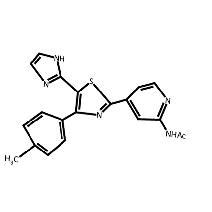 CC(=O)Nc1cc(-c2nc(-c3ccc(C)cc3)c(-c3ncc[nH]3)s2)ccn1